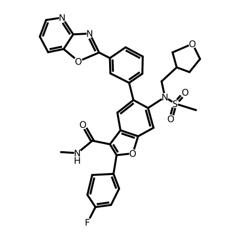 CNC(=O)c1c(-c2ccc(F)cc2)oc2cc(N(CC3CCOC3)S(C)(=O)=O)c(-c3cccc(-c4nc5ncccc5o4)c3)cc12